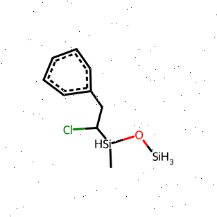 C[SiH](O[SiH3])C(Cl)Cc1ccccc1